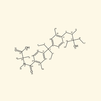 CCC(CC)(c1ccc(CC(C)C(O)(CC)CC)c(C)c1)c1ccc(C(=O)N(C)C(C)(C)C(=O)O)c(C)c1